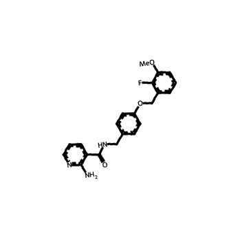 COc1cccc(COc2ccc(CNC(=O)c3cccnc3N)cc2)c1F